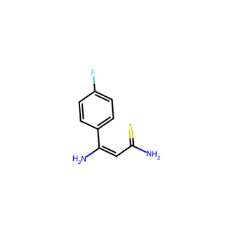 NC(=S)/C=C(/N)c1ccc(F)cc1